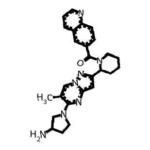 Cc1cn2nc(C3CCCCN3C(=O)c3ccc4ncccc4c3)cc2nc1N1CCC(N)C1